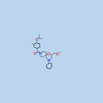 COCC1CN(c2ccccc2)CC2(CCN(C(=O)c3ccc(OC(C)C)c(C)c3)CC2)O1